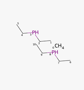 C.CCPCC.CCPCC